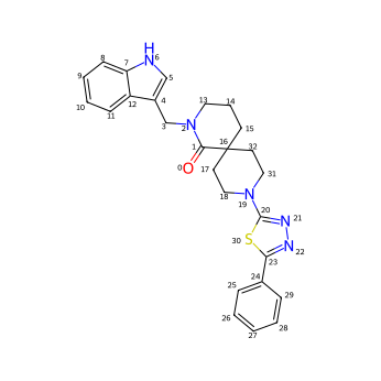 O=C1N(Cc2c[nH]c3ccccc23)CCCC12CCN(c1nnc(-c3ccccc3)s1)CC2